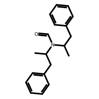 CC(Cc1ccccc1)N(C=O)C(C)Cc1ccccc1